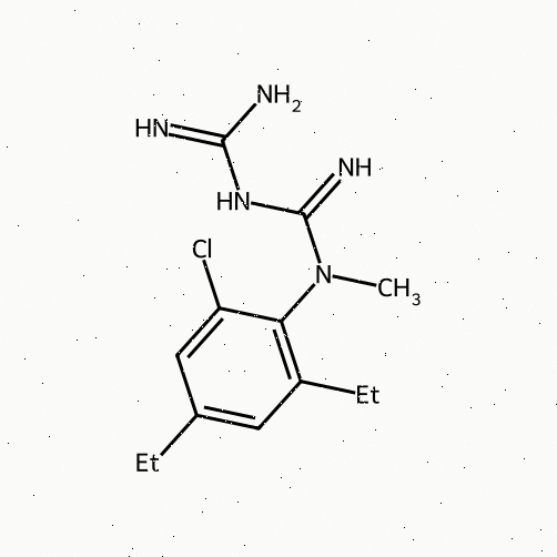 CCc1cc(Cl)c(N(C)C(=N)NC(=N)N)c(CC)c1